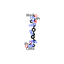 COC(=O)N[C@H](C(=O)N1CCC[C@H]1c1ncc(C2=CC3N=Cn4c(cc5cc(-c6cnc([C@@H]7CCCN7C(=O)[C@@H](NC(=O)OC)C(C)C)[nH]6)ccc54)C3C=C2)[nH]1)C(C)C